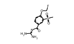 CS(=O)(=O)c1cc(C(=O)N=C(N)N)ccc1OCF